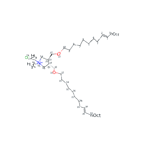 CCCCCCCCC=CCCCCCCCCOC[C@@H]1C[N+](C)(C)C[C@H]1COCCCCCCCCC=CCCCCCCCC.[Cl-]